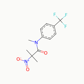 CN(C(=O)C(C)(C)[N+](=O)[O-])c1ccc(C(F)(F)F)cc1